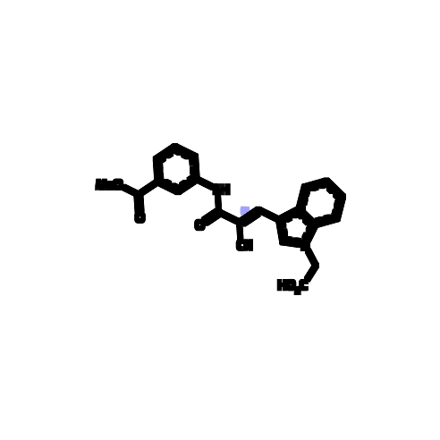 COC(=O)c1cccc(NC(=O)/C(C#N)=C/c2cn(CC(=O)O)c3ccccc23)c1